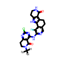 [2H]C([2H])([2H])N1CCc2nc(Cl)nc(Nc3ncc4c(c3F)-c3[nH]c5c(c3CC4)C(=O)NCC5)c2C1=O